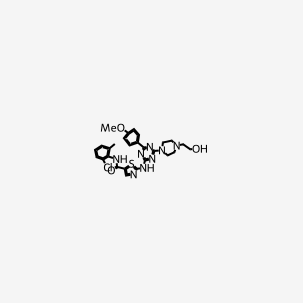 COc1ccc(-c2nc(Nc3ncc(C(=O)Nc4c(C)cccc4Cl)s3)nc(N3CCN(CCO)CC3)n2)cc1